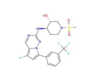 CS(=O)(=O)N1CC[C@@H](Nc2ncc3c(F)cc(-c4cccc(C(F)(F)F)c4)n3n2)[C@H](O)C1